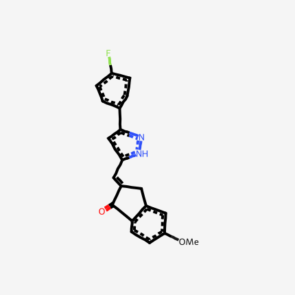 COc1ccc2c(c1)C/C(=C\c1cc(-c3ccc(F)cc3)n[nH]1)C2=O